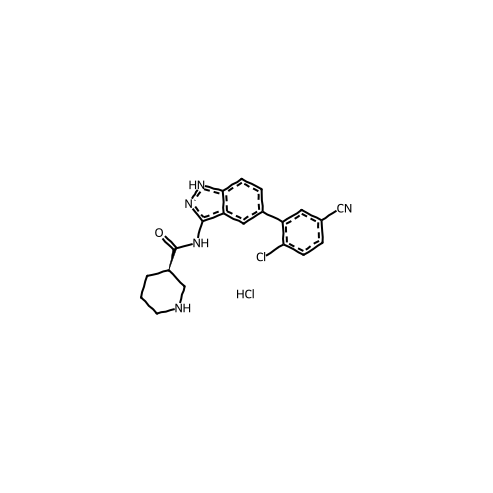 Cl.N#Cc1ccc(Cl)c(-c2ccc3[nH]nc(NC(=O)[C@@H]4CCCNC4)c3c2)c1